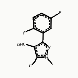 Cn1nc(-c2cc(F)ccc2F)c(C=O)c1Cl